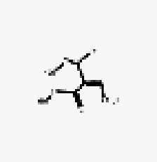 CCCCOC(CC)C(=CC(=O)O)C(=O)OC(C)(C)C